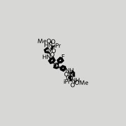 COC(=O)N[C@H](C(=O)N1CCC[C@H]1C(=O)Nc1ccc([C@H]2CC[C@@H](c3ccc(NC(=O)[C@@H]4CCCN4C(=O)[C@@H](NC(=O)OC)C(C)C)cc3)N2c2ccc(F)cc2)cc1)C(C)C